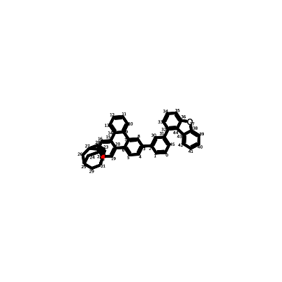 c1cc(-c2ccc3c(c2)c2ccccc2c2cc4c(cc32)C2CC3CC(CC4C3)C2)cc(-c2cccc3oc4ccccc4c23)c1